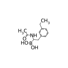 CCc1cccc(CC(NC(C)=O)B(O)O)c1